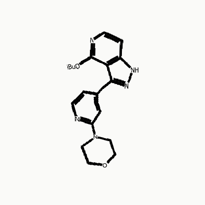 CC(C)COc1nccc2[nH]nc(-c3ccnc(N4CCOCC4)c3)c12